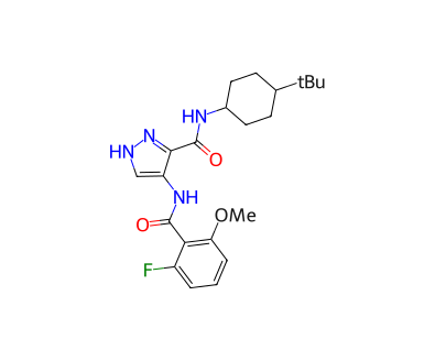 COc1cccc(F)c1C(=O)Nc1c[nH]nc1C(=O)NC1CCC(C(C)(C)C)CC1